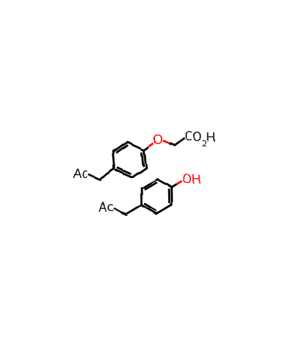 CC(=O)Cc1ccc(O)cc1.CC(=O)Cc1ccc(OCC(=O)O)cc1